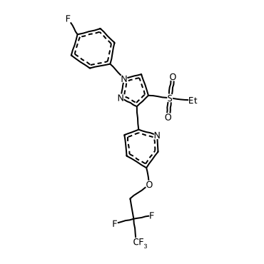 CCS(=O)(=O)c1cn(-c2ccc(F)cc2)nc1-c1ccc(OCC(F)(F)C(F)(F)F)cn1